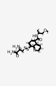 COCC(C)NC(=O)c1ccc(SSC[C@H](N)C(N)=O)c2ncccc12